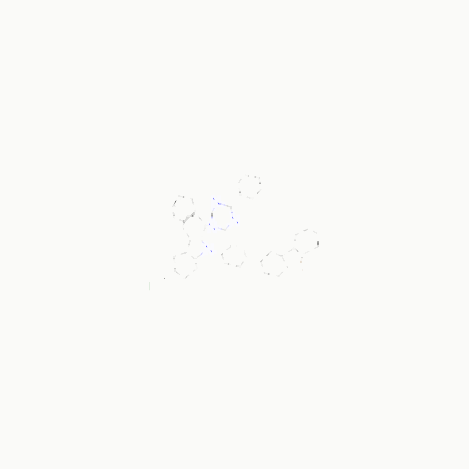 Cc1ccc2c(c1)c1cc(C(F)(F)F)ccc1n2-c1ccc(-c2ccc3sc4ccccc4c3c2)cc1-c1nc(-c2ccccc2)nc(-c2ccccc2)n1